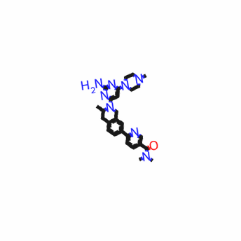 CC1Cc2ccc(-c3ccc(C(=O)N(C)C)cn3)cc2CN1c1cc(N2CCN(C)CC2)nc(N)n1